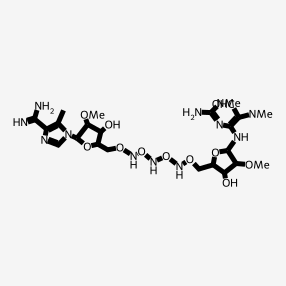 CN/C(N)=N\C(NC1OC(CONONONOCC2OC(n3cnc(C(=N)N)c3C)C(OC)C2O)C(O)C1OC)=C(/C=O)NC